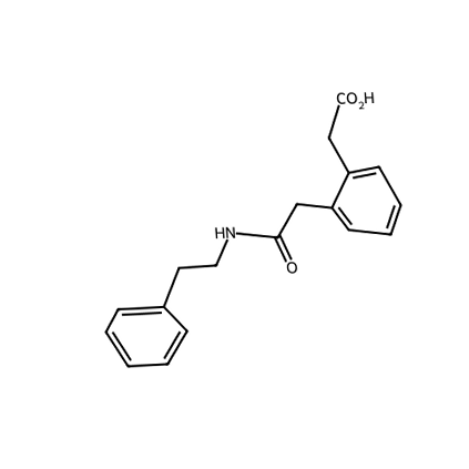 O=C(O)Cc1ccccc1CC(=O)NCCc1ccccc1